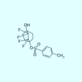 Cc1ccc(S(=O)(=O)OC23CCC(O)(CC2)C(F)(F)C3(F)F)cc1